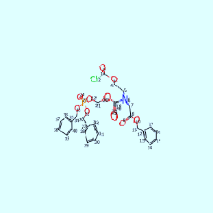 O=C(Cl)OCCN(CC(=O)OCc1ccccc1)C(=O)OCOP(=O)(OCc1ccccc1)OCc1ccccc1